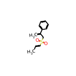 C=C(CS(=O)(=O)/C=C/C)c1ccccc1